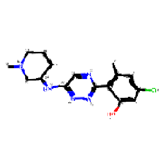 Cc1cc(Cl)cc(O)c1-c1ncc(NC2CCCN(C)C2)nn1